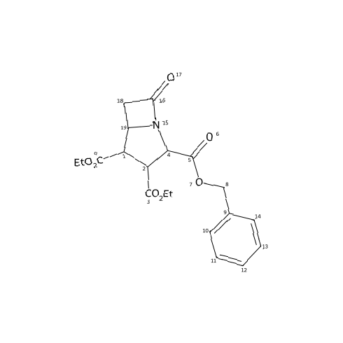 CCOC(=O)C1C(C(=O)OCC)C(C(=O)OCc2ccccc2)N2C(=O)CC12